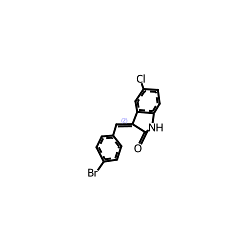 O=C1Nc2ccc(Cl)cc2/C1=C/c1ccc(Br)cc1